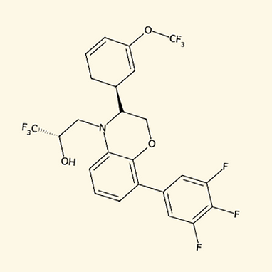 O[C@@H](CN1c2cccc(-c3cc(F)c(F)c(F)c3)c2OCC1[C@@H]1C=C(OC(F)(F)F)C=CC1)C(F)(F)F